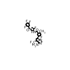 Cc1cc(F)c(-c2cc(C(F)(F)F)c3c(N)ncnn23)cc1C(=O)NC1CN(C(=O)c2cc(F)c(F)cc2F)CC1F